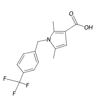 Cc1cc(C(=O)O)c(C)n1Cc1ccc(C(F)(F)F)cc1